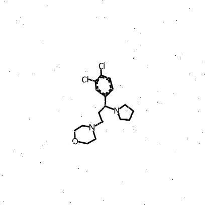 Clc1ccc(C(CCN2CCOCC2)N2CCCC2)cc1Cl